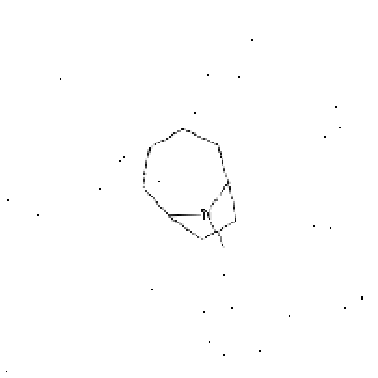 CN1C2CCCCC1CC2